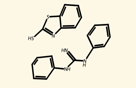 N=C(Nc1ccccc1)Nc1ccccc1.Sc1nc2ccccc2s1